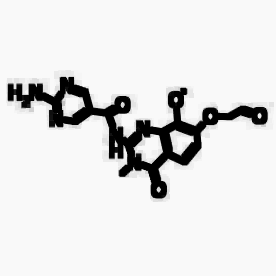 COc1c(OCC=O)ccc2c(=O)n(C)c(NC(=O)c3cnc(N)nc3)nc12